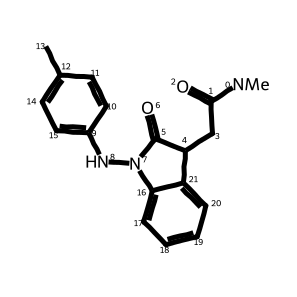 CNC(=O)CC1C(=O)N(Nc2ccc(C)cc2)c2ccccc21